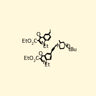 CCOC(=O)c1cn(CC)c2ccc(C#CCN3CCN(OC(C)(C)C)CC3C)cc2c1=O.CCOC(=O)c1cn(CC)c2ccc(I)cc2c1=O